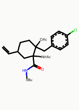 C=CC1CCC(Cc2ccc(Cl)cc2)(OC(C)=O)C(NC(C)=O)(C(=O)NCCCC)C1